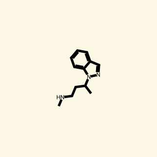 CNCCC(C)n1ncc2ccccc21